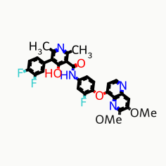 COc1cc2nccc(Oc3ccc(NC(=O)c4c(C)nc(C)c(-c5ccc(F)c(F)c5)c4O)cc3F)c2nc1OC